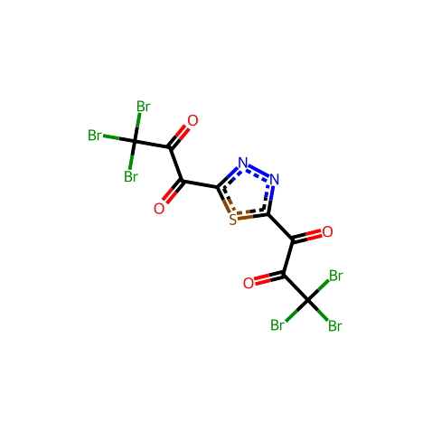 O=C(C(=O)C(Br)(Br)Br)c1nnc(C(=O)C(=O)C(Br)(Br)Br)s1